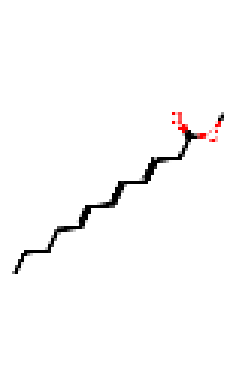 CCCCC=CC=CC=CCC(=O)OC